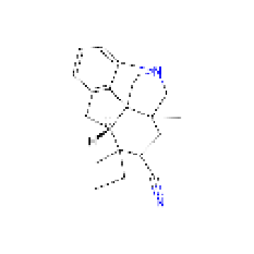 CCC1(C)C(C#N)CC2(C)CN3CCC24c2c(cccc23)C[C@@H]14